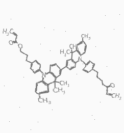 C=CC(=O)CCCCc1ccc(N2c3ccc(C)cc3C(C)(C)c3cc(-c4ccc5c(c4)C(C)(C)c4cc(C)ccc4N5c4ccc(CCCOC(=O)C=C)cc4)ccc32)cc1